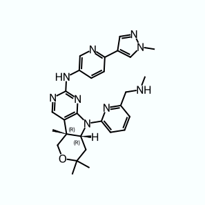 CNCc1cccc(N2c3nc(Nc4ccc(-c5cnn(C)c5)nc4)ncc3[C@@]3(C)COC(C)(C)C[C@@H]23)n1